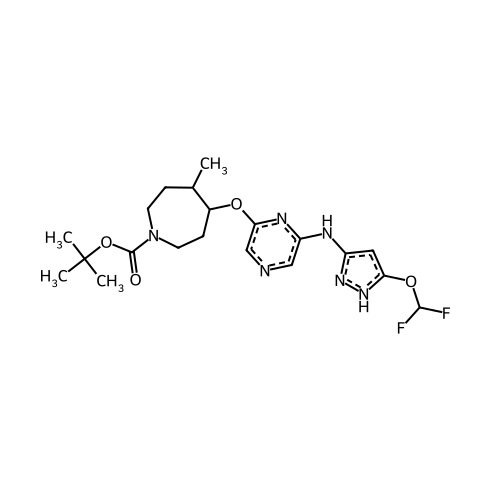 CC1CCN(C(=O)OC(C)(C)C)CCC1Oc1cncc(Nc2cc(OC(F)F)[nH]n2)n1